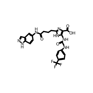 O=C(CCCc1nc(C(=O)O)c(NC(=O)Nc2ccc(C(F)(F)F)cc2)[nH]1)Nc1ccc2[nH]ncc2c1